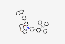 c1ccc(-c2c(-c3ccccc3)c3cc(-c4ccc(N(c5ccc(-c6ccc(-c7cccc8ccccc78)cc6)cc5)c5cccc6sc7ccccc7c56)cc4)ccc3c3ccccc23)cc1